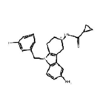 Nc1ccc2c(c1)c1c(n2Cc2cccc(F)n2)CC[C@@H](NC(=O)C2CC2)C1